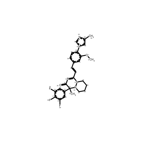 COc1cc(/C=C/C2=NC(=O)C(C)(c3cc(F)c(F)c(F)c3)N3CCCCN23)ccc1-n1cnc(C)c1